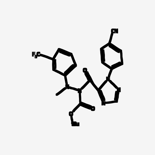 CN(c1cccc(C(F)(F)F)c1)N(C(=O)OC(C)(C)C)C(=O)c1ncnn1-c1ccc(C#N)cc1